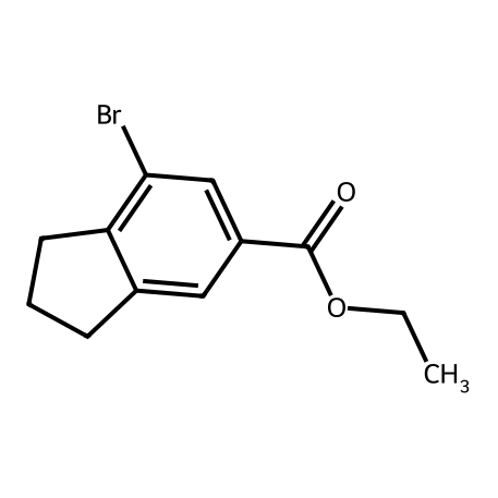 CCOC(=O)c1cc(Br)c2c(c1)CCC2